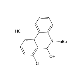 CCCCN1c2ccccc2-c2cccc(Cl)c2C1O.Cl